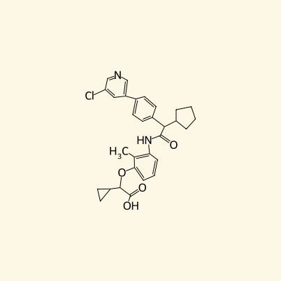 Cc1c(NC(=O)C(c2ccc(-c3cncc(Cl)c3)cc2)C2CCCC2)cccc1OC(C(=O)O)C1CC1